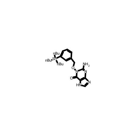 CCC[CH2][Sn]([CH2]CCC)([CH2]CCC)[c]1cccc(COn2c(N)nc3nc[nH]c3c2=O)c1